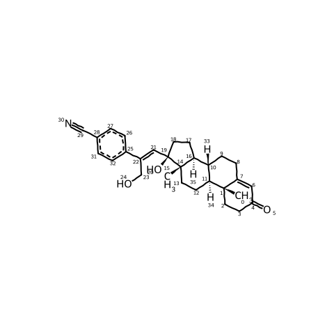 C[C@]12CCC(=O)C=C1CC[C@@H]1[C@@H]2CC[C@@]2(C)[C@H]1CC[C@@]2(O)/C=C(\CO)c1ccc(C#N)cc1